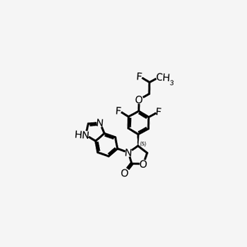 CC(F)COc1c(F)cc([C@H]2COC(=O)N2c2ccc3[nH]cnc3c2)cc1F